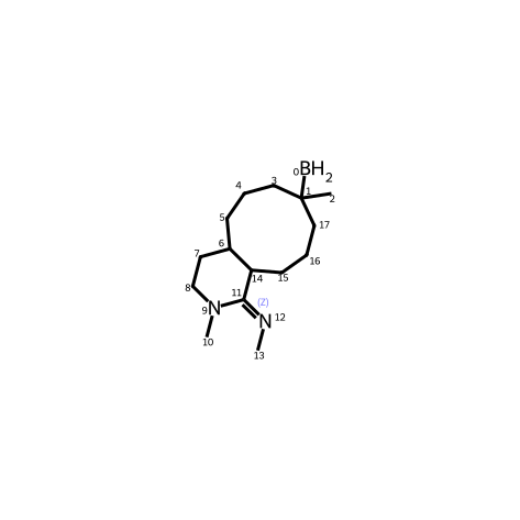 BC1(C)CCCC2CCN(C)/C(=N\C)C2CCC1